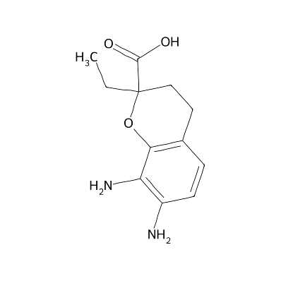 CCC1(C(=O)O)CCc2ccc(N)c(N)c2O1